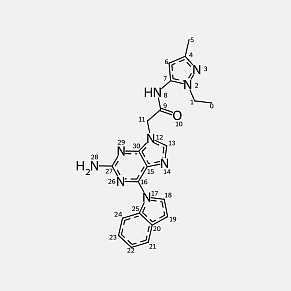 CCn1nc(C)cc1NC(=O)Cn1cnc2c(-n3ccc4ccccc43)nc(N)nc21